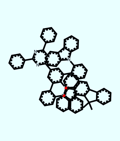 CC1(C)c2ccccc2-c2ccc3c(c21)c1ccccc1n3-c1c(-c2ccccc2-n2c3ccccc3c3ccccc32)cc(-c2nc(-c3ccccc3)nc(-c3ccccc3)n2)cc1-c1ccccc1-n1c2ccccc2c2ccccc21